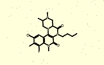 CCCCN1C(=O)C2CN(C)C(C)CN2c2c1c(=O)n(C)c1c(F)c(C)c(Cl)cc21